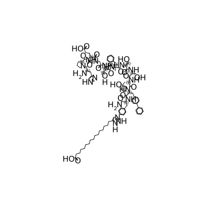 C[C@@H](O)[C@H](NC(=O)CNC(=O)[C@H](CCC(=O)O)NC(=O)[C@@H]1CCCN1C(=O)[C@@H](N)Cc1c[nH]cn1)C(=O)NC(C)(Cc1ccccc1F)C(=O)N[C@H](C(=O)N[C@@H](CO)C(=O)N[C@@H](CC(=O)O)C(=O)N[C@@H](Cc1ccc(-c2ccccc2)cc1)C(=O)N[C@@H](Cc1ccc(N2C=C(CCCCCCCCCCCCCCCC(=O)O)NN2)cc1)C(N)=O)[C@@H](C)O